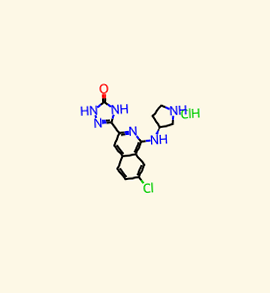 Cl.O=c1[nH]nc(-c2cc3ccc(Cl)cc3c(N[C@H]3CCNC3)n2)[nH]1